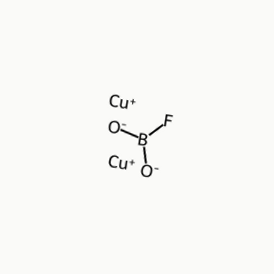 [Cu+].[Cu+].[O-]B([O-])F